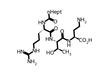 CCCCCCCC(=O)N[C@@H](CCCNC(=N)N)C(=O)N[C@H](C(=O)N[C@@H](CCN)C(=O)O)[C@@H](C)O